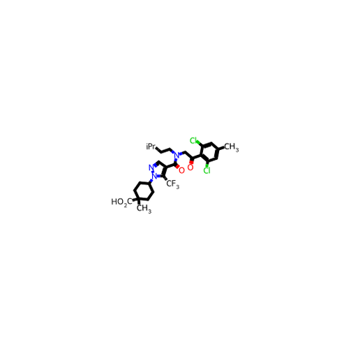 Cc1cc(Cl)c(C(=O)CN(CCC(C)C)C(=O)c2cnn(C3CCC(C)(C(=O)O)CC3)c2C(F)(F)F)c(Cl)c1